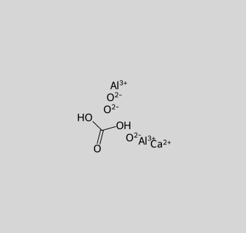 O=C(O)O.[Al+3].[Al+3].[Ca+2].[O-2].[O-2].[O-2]